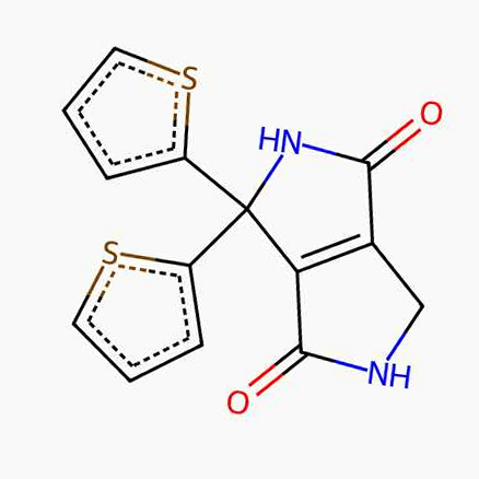 O=C1NC(c2cccs2)(c2cccs2)C2=C1CNC2=O